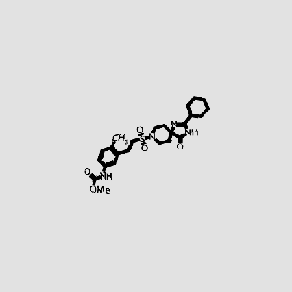 COC(=O)Nc1ccc(C)c(CCS(=O)(=O)N2CCC3(CC2)N=C(C2CCCCC2)NC3=O)c1